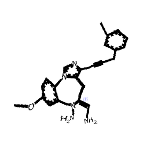 COc1ccc2c(c1)N(N)/C(=C\N)Cc1c(C#CCc3cccc(C)c3)ncn1-2